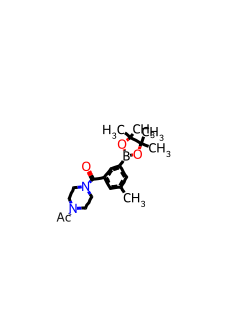 CC(=O)N1CCN(C(=O)c2cc(C)cc(B3OC(C)(C)C(C)(C)O3)c2)CC1